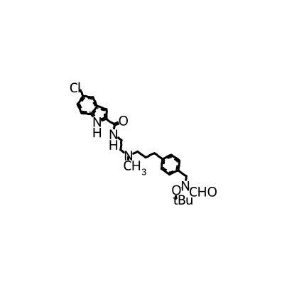 CN(CCCc1ccc(CN(C=O)OC(C)(C)C)cc1)CCNC(=O)c1cc2cc(Cl)ccc2[nH]1